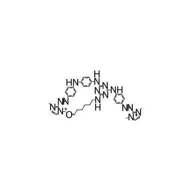 Cn1cc[n+](C)c1/N=N/c1ccc(Nc2ccc(Nc3nc(NCCCCCC=O)nc(Nc4ccc(/N=N/c5n(C)cc[n+]5C)cc4)n3)cc2)cc1